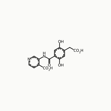 O=C(O)Cc1cc(O)c(C(=O)Nc2cnccc2C(=O)O)cc1O